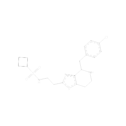 O=S(=O)(NCCc1nc2c(s1)CCNC2Cc1ccc(Cl)cc1)C1CCC1